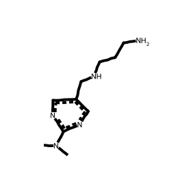 CN(C)c1ncc(CNCCCN)cn1